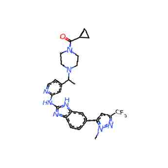 CC(c1ccnc(Nc2nc3ccc(-c4cc(C(F)(F)F)nn4C)cc3[nH]2)c1)N1CCN(C(=O)C2CC2)CC1